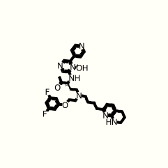 CC(=O)[C@H](CCN(CCCCc1ccc2c(n1)NCCC2)CCOc1cc(F)cc(F)c1)Nc1cncc(-c2ccncc2)[n+]1O